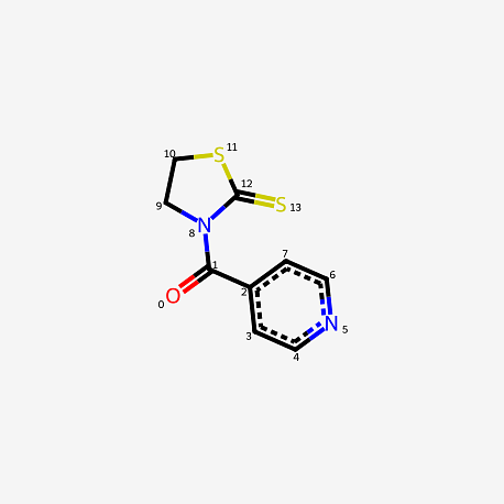 O=C(c1ccncc1)N1CCSC1=S